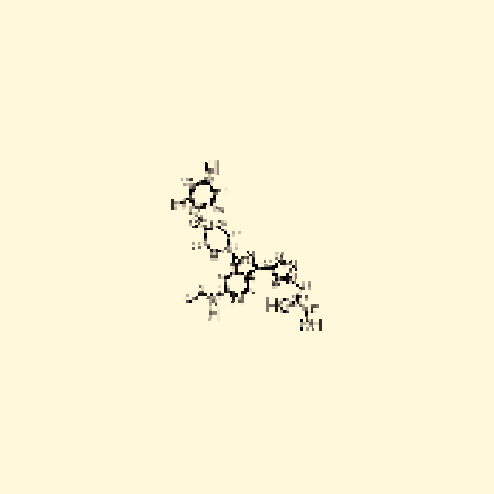 CCNc1cc2c(cn1)c(-c1cnn(C[C@@H](O)CO)c1)nn2C1CCC(Oc2ccc(Cl)cc2F)CC1